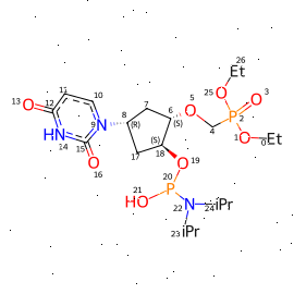 CCOP(=O)(CO[C@H]1C[C@@H](n2ccc(=O)[nH]c2=O)C[C@@H]1OP(O)N(C(C)C)C(C)C)OCC